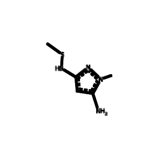 CSBc1cc(N)n(C)n1